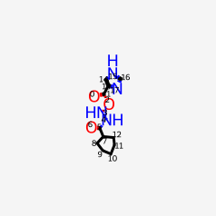 O=C(ONNC(=O)C1CCCCC1)c1c[nH]cn1